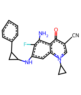 N#Cc1cn(C2CC2)c2cc(NC3CC3c3ccccc3)c(F)c(N)c2c1=O